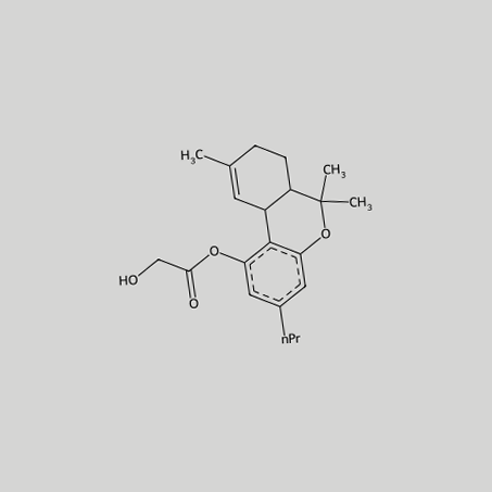 CCCc1cc(OC(=O)CO)c2c(c1)OC(C)(C)C1CCC(C)=CC21